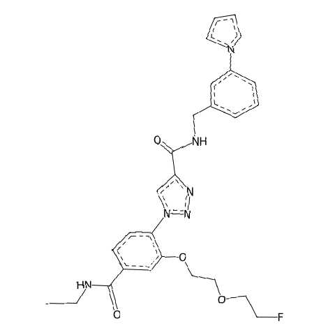 CCNC(=O)c1ccc(-n2cc(C(=O)NCc3cccc(-n4cccc4)c3)nn2)c(OCCOCCF)c1